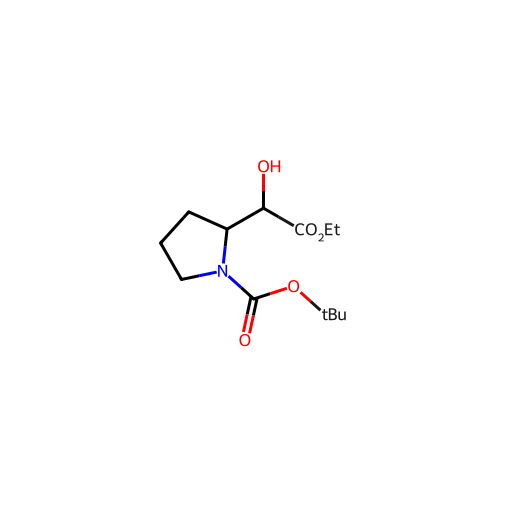 CCOC(=O)C(O)C1CCCN1C(=O)OC(C)(C)C